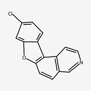 Clc1ccc2c(c1)oc1ccc3cnccc3c12